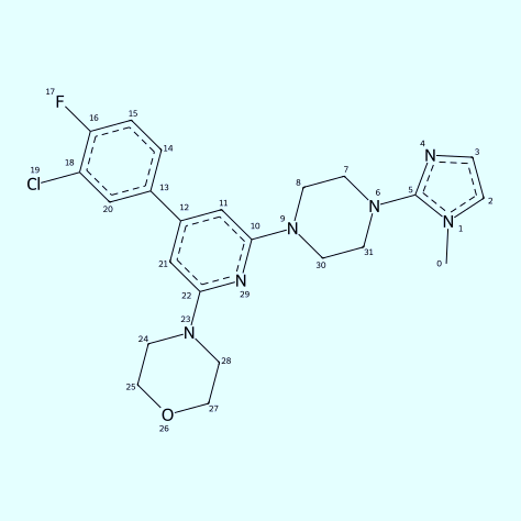 Cn1ccnc1N1CCN(c2cc(-c3ccc(F)c(Cl)c3)cc(N3CCOCC3)n2)CC1